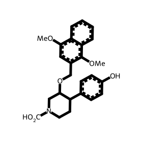 COc1cc(COC2CN(C(=O)O)CCC2c2ccc(O)cc2)c(OC)c2ccccc12